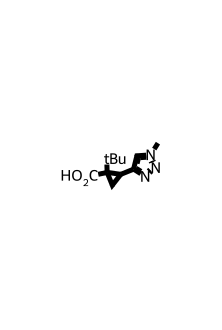 Cn1cc(C2CC2(C(=O)O)C(C)(C)C)nn1